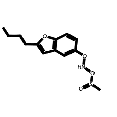 CCCCc1cc2cc(ONOS(C)=O)ccc2o1